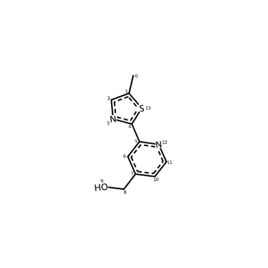 Cc1cnc(-c2cc(CO)ccn2)s1